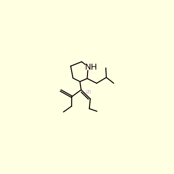 C=C(CC)/C(=C\CC)C1CCCNC1CC(C)C